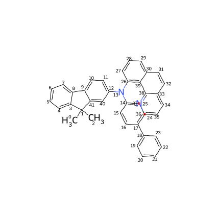 CC1(C)c2ccccc2-c2ccc(N(c3ccc(-c4ccccc4)cc3)c3cccc4ccc5cccnc5c34)cc21